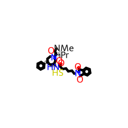 CNC(=O)[C@H](C(C)C)N1CC[C@@H](c2ccccc2)C[C@H](NC(=O)C(S)CCCCN2C(=O)c3ccccc3C2=O)C1=O